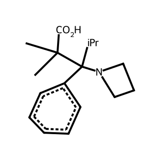 CC(C)C(c1ccccc1)(N1CCC1)C(C)(C)C(=O)O